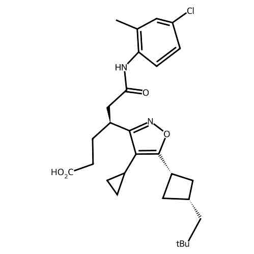 Cc1cc(Cl)ccc1NC(=O)C[C@H](CCC(=O)O)c1noc([C@H]2C[C@@H](CC(C)(C)C)C2)c1C1CC1